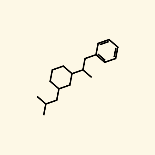 CC(C)CC1CCCC(C(C)Cc2ccccc2)C1